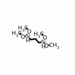 CO[SiH](CCC[SiH](OC)OC)OC